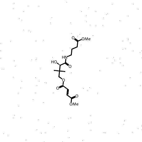 COC(=O)/C=C/C(=O)OCC(C)(C)[C@@H](O)C(=O)NCCCC(=O)OC